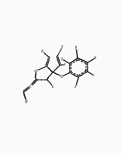 FC=C=C1OC(=CF)C(Oc2c(F)c(F)c(F)c(F)c2F)(C(F)=CF)C1F